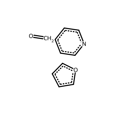 C=O.c1ccncc1.c1ccoc1